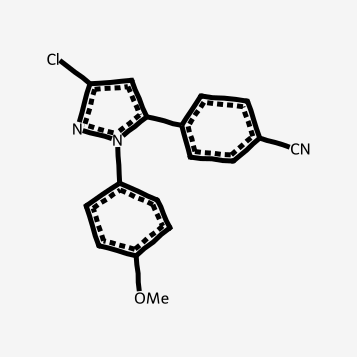 COc1ccc(-n2nc(Cl)cc2-c2ccc(C#N)cc2)cc1